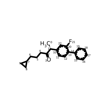 C[C@@H](C(=O)CCCC1CC1)c1ccc(-c2ccccc2)c(F)c1